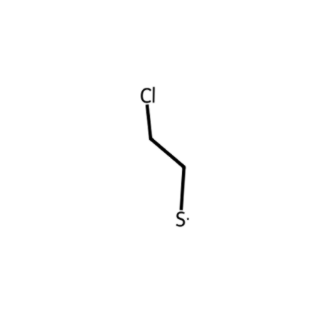 [S]CCCl